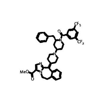 COC(=O)c1cnc2n1CCc1ccccc1C2=C1CCN(C2CCN(C(=O)c3cc(C(F)(F)F)cc(C(F)(F)F)c3)C(Cc3ccccc3)C2)CC1